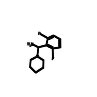 NC(c1c(F)cccc1F)N1CCCCC1